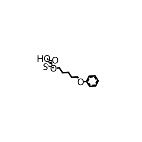 O=S(O)(=S)OCCCCCOc1ccccc1